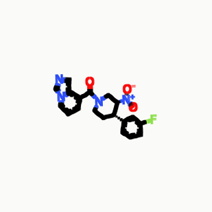 O=C(c1cccn2cncc12)N1CC[C@@H](c2cccc(F)c2)[C@H]([N+](=O)[O-])C1